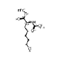 CCCOC(=O)[C@H](CCCCCCl)NC(=O)C(F)(F)F